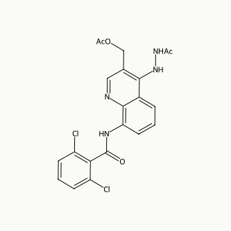 CC(=O)NNc1c(COC(C)=O)cnc2c(NC(=O)c3c(Cl)cccc3Cl)cccc12